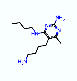 CCCCNc1nc(N)nc(C)c1CCCCN